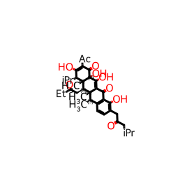 CCC(=O)C[C@@H]1[C@]2(C)C(=C(O)[C@@]3(O)C(=O)C(C(C)=O)=C(O)C(C(C)C)[C@@]13C)C(=O)c1c(ccc(CC(=O)CC(C)C)c1O)[C@H]2C